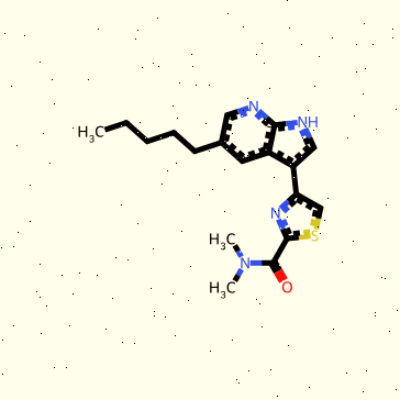 CCCCCc1cnc2[nH]cc(-c3csc(C(=O)N(C)C)n3)c2c1